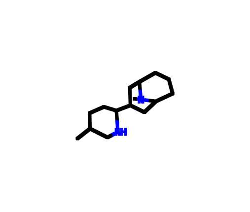 CC1CCC(C2CC3CCCC(C2)N3C)NC1